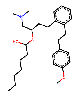 CCCCCCC(O)O[C@H](CCc1ccccc1CCc1ccc(OC)cc1)CN(C)C